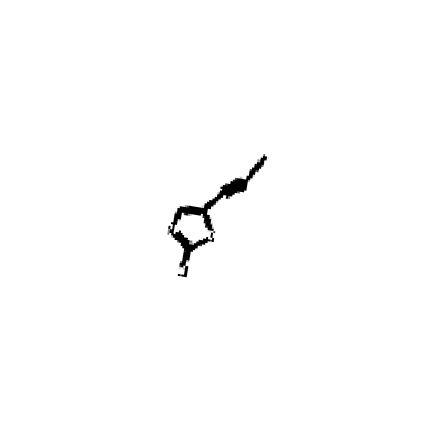 [CH2]C#Cc1cnc(Cl)s1